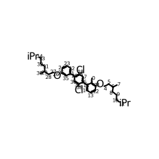 Cc1c(OCCC(C)CCCC(C)C)cccc1-c1cc(Cl)c(-c2cccc(OCCC(C)CCCC(C)C)c2)cc1Cl